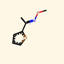 CO/N=C(\C)c1cc[c]s1